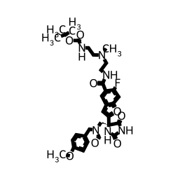 COc1ccc(CN(C=O)C[C@@]2(c3cc4cc(C(=O)NCCN(C)CCNC(=O)OC(C)(C)C)c(F)cc4o3)NC(=O)NC2=O)cc1